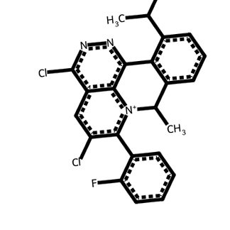 CC(C)c1cccc2c1-c1nnc(Cl)c3cc(Cl)c(-c4ccccc4F)[n+](c13)C2C